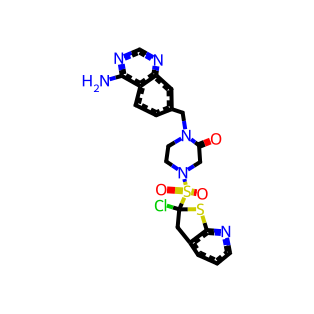 Nc1ncnc2cc(CN3CCN(S(=O)(=O)C4(Cl)Cc5cccnc5S4)CC3=O)ccc12